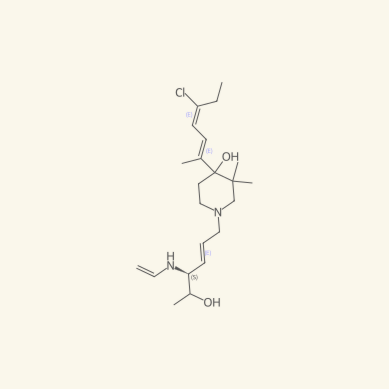 C=CN[C@@H](/C=C/CN1CCC(O)(/C(C)=C/C=C(/Cl)CC)C(C)(C)C1)C(C)O